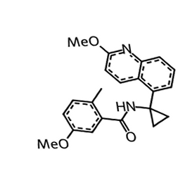 COc1ccc(C)c(C(=O)NC2(c3cccc4nc(OC)ccc34)CC2)c1